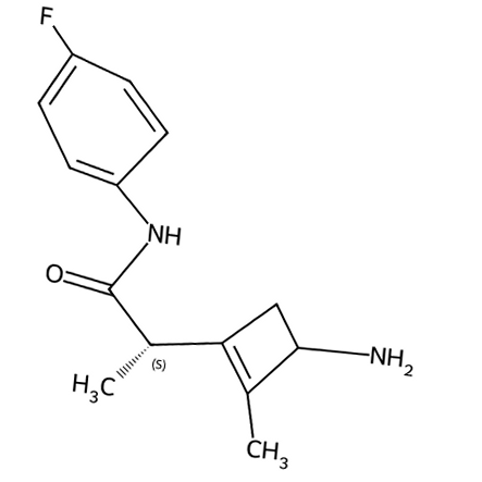 CC1=C([C@H](C)C(=O)Nc2ccc(F)cc2)CC1N